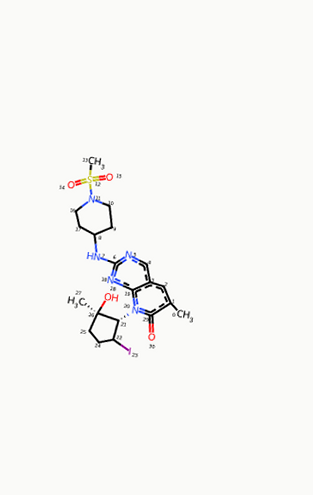 Cc1cc2cnc(NC3CCN(S(C)(=O)=O)CC3)nc2n([C@@H]2C(I)CC[C@@]2(C)O)c1=O